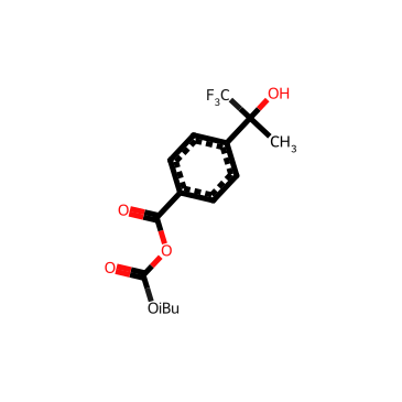 CC(C)COC(=O)OC(=O)c1ccc(C(C)(O)C(F)(F)F)cc1